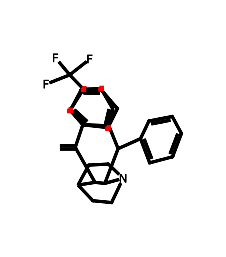 C=C(c1cccc(C(F)(F)F)c1)C1C2CCN(CC2)C1C(c1ccccc1)c1ccccc1